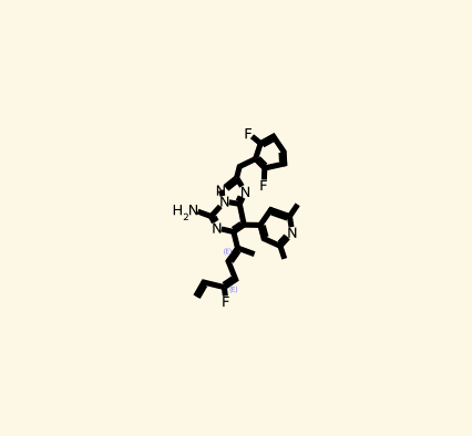 C=C/C(F)=C\C=C(/C)c1nc(N)n2nc(Cc3c(F)cccc3F)nc2c1-c1cc(C)nc(C)c1